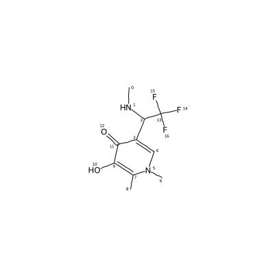 CNC(c1cn(C)c(C)c(O)c1=O)C(F)(F)F